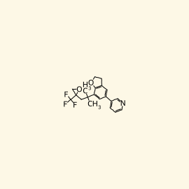 CC(C)(CC1(C(F)(F)F)CO1)c1cc(-c2cccnc2)cc2c1OCC2